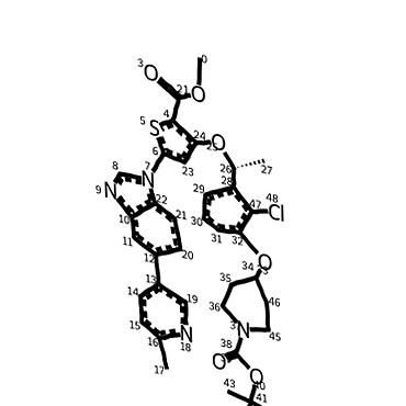 COC(=O)c1sc(-n2cnc3cc(-c4ccc(C)nc4)ccc32)cc1O[C@H](C)c1cccc(OC2CCN(C(=O)OC(C)(C)C)CC2)c1Cl